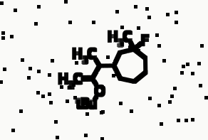 C=C(OC(C)(C)C)C(C)C1CCCCC(C)(F)C1